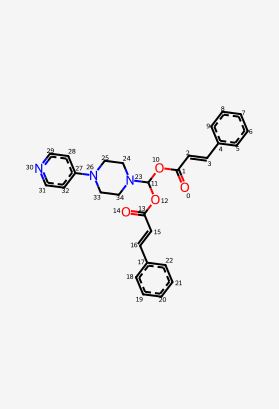 O=C(C=Cc1ccccc1)OC(OC(=O)C=Cc1ccccc1)N1CCN(c2ccncc2)CC1